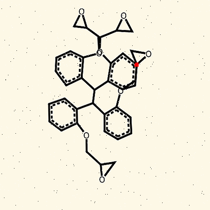 c1ccc(C(c2ccccc2OCC2CO2)C(c2ccccc2OCC2CO2)c2ccccc2OCC2CO2)c(OCC2CO2)c1